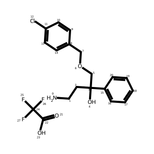 NCCC(O)(COCc1ccc(Cl)cc1)c1ccccc1.O=C(O)C(F)(F)F